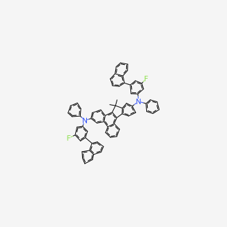 CC1(C)c2cc(N(c3ccccc3)c3cc(F)cc(-c4cccc5ccccc45)c3)ccc2-c2c1c1ccc(N(c3ccccc3)c3cc(F)cc(-c4cccc5ccccc45)c3)cc1c1ccccc21